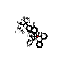 O=P(O)(O)OC(C(F)(F)F)C1(c2ccc(N3CCN(c4ccccc4-c4cccnc4C(F)(F)C(O)(Cn4cnnn4)c4ccc(F)cc4F)CC3)cc2)CNN=N1